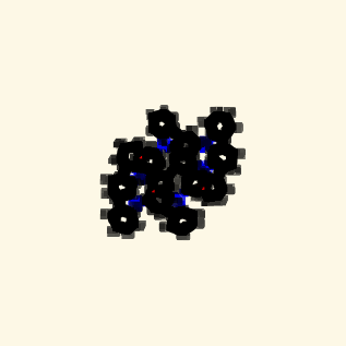 c1ccc(-n2c3ccccc3c3cc(-n4c5ccccc5c5ccc6c7ccccc7n(-c7cccc(-c8cccc(-n9c%10ccccc%10c%10ccc%11c%12ccccc%12n(-c%12ccc%13c(c%12)c%12ccccc%12n%13-c%12ccccc%12)c%11c%109)c8)c7)c6c54)ccc32)cc1